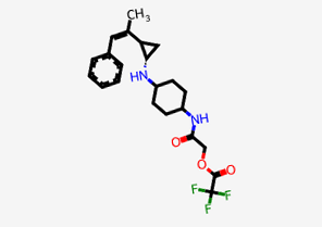 CC(=Cc1ccccc1)C1C[C@@H]1NC1CCC(NC(=O)COC(=O)C(F)(F)F)CC1